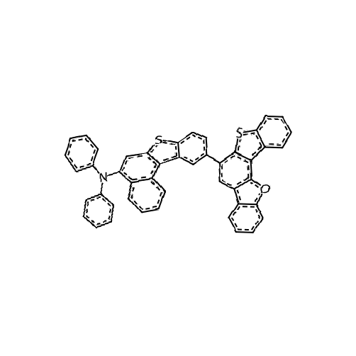 c1ccc(N(c2ccccc2)c2cc3sc4ccc(-c5cc6c7ccccc7oc6c6c5sc5ccccc56)cc4c3c3ccccc23)cc1